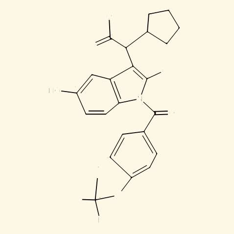 Cc1c(C(C(=O)O)C2CCCC2)c2cc(O)ccc2n1C(=O)c1ccc(OC(F)(F)F)cc1